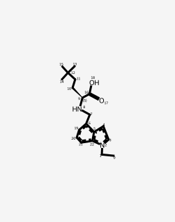 CCn1ccc2c(CN[C@@H](CCC(C)(C)C)C(=O)O)cccc21